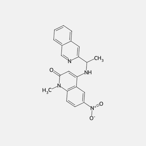 CC(Nc1cc(=O)n(C)c2ccc([N+](=O)[O-])cc12)c1cc2ccccc2cn1